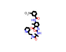 Cc1c(NC(=O)c2cccc([N+](=O)[O-])c2)ccc2nc(NC(C)(C)C(=O)N(C)CCc3ccccn3)oc(=O)c12